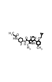 CCC(=O)N[C@@H]1CC[C@@H](NC(=O)c2c(C)[nH]c3c(-c4cc(C)ccc4OCC4CC4)ncnc23)[C@H](F)C1